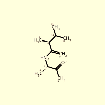 C=C(N[C@@H](C)C(C)=O)[C@@H](C)C(C)C